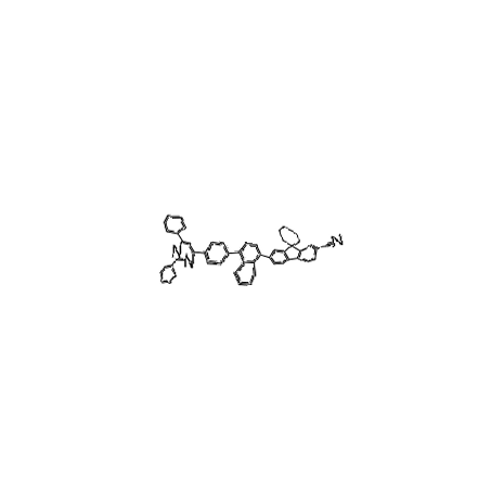 N#Cc1ccc2c(c1)C1(CCCCC1)c1cc(-c3ccc(-c4ccc(-c5cc(-c6ccccc6)nc(-c6ccccc6)n5)cc4)c4ccccc34)ccc1-2